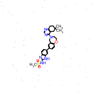 CC1(C)CCc2ncnc(N3CCOc4ccc(-c5ccc6nc(NS(C)(=O)=O)[nH]c6c5)cc4C3)c2C1